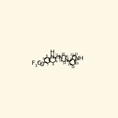 FC(F)(F)Oc1ccc2c(c1)CCC(CN1CCN(c3cccc4[nH]ccc34)CC1)N2